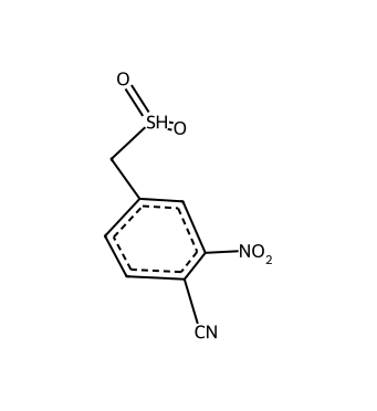 N#Cc1ccc(C[SH](=O)=O)cc1[N+](=O)[O-]